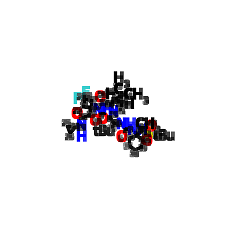 C[C@H](C1(NC(=O)N[C@H](C(=O)N2C[C@H]3[C@@H]([C@H]2C(=O)NC2(C(=O)C(=O)NC4CC4)CC(F)(F)C2)C3(C)C)C(C)(C)C)CCCCC1)S(=O)(=O)C(C)(C)C